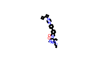 C=CCC/C=C(\C=C)C(C(=O)N(C)N)N1Cc2ccc(-c3ccc(N4CCN(C5CCC5C5CCC5)CC4)cc3)cc2C1=O